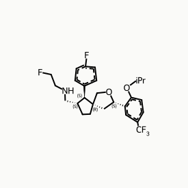 CC(C)Oc1ccc(C(F)(F)F)cc1[C@@H]1C[C@@]2(CC[C@H](CNCCF)[C@H]2c2ccc(F)cc2)CO1